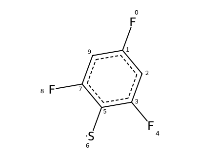 Fc1cc(F)c([S])c(F)c1